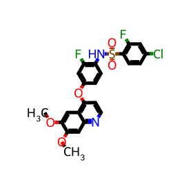 COc1cc2nccc(Oc3ccc(NS(=O)(=O)c4ccc(Cl)cc4F)c(F)c3)c2cc1OC